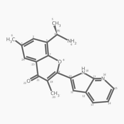 Cc1cc([C@@H](C)N)c2oc(-c3cc4cccnc4[nH]3)c(C)c(=O)c2c1